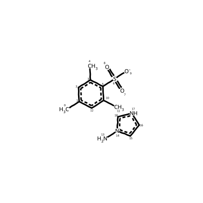 Cc1cc(C)c(S(=O)(=O)[O-])c(C)c1.N[n+]1cc[nH]c1